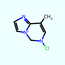 CC1=CN(Cl)C[N+]2C=[C]N=C12